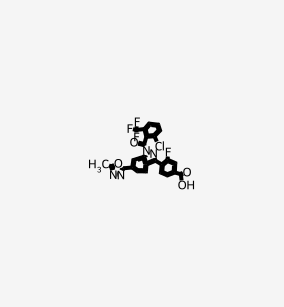 Cc1nnc(-c2ccc3c(-c4ccc(C(=O)O)cc4F)nn(C(=O)c4c(Cl)cccc4C(F)(F)F)c3c2)o1